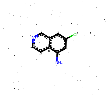 Nc1cc(Cl)cc2cnccc12